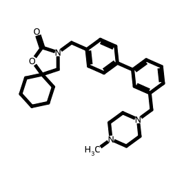 CN1CCN(Cc2cccc(-c3ccc(CN4CC5(CCCCC5)OC4=O)cc3)c2)CC1